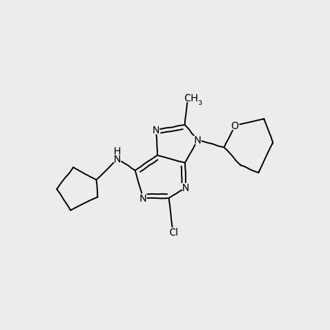 Cc1nc2c(NC3CCCC3)nc(Cl)nc2n1C1CCCCO1